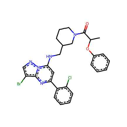 CC(Oc1ccccc1)C(=O)N1CCCC(CNc2cc(-c3ccccc3Cl)nc3c(Br)cnn23)C1